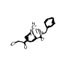 Cn1cc(C(=O)CCl)cc1C(=O)NCc1ccccc1